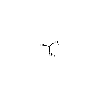 BC(N)N